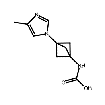 Cc1cn(C23CC(NC(=O)O)(C2)C3)cn1